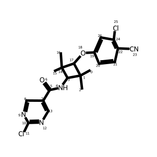 CC1(C)C(NC(=O)c2cnc(Cl)nc2)C(C)(C)C1Oc1ccc(C#N)c(Cl)c1